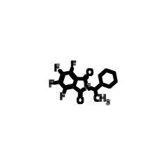 CC(C1CCCCC1)N1C(=O)c2c(F)c(F)c(F)c(F)c2C1=O